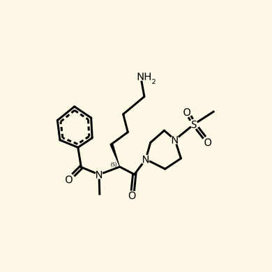 CN(C(=O)c1ccccc1)[C@@H](CCCCN)C(=O)N1CCN(S(C)(=O)=O)CC1